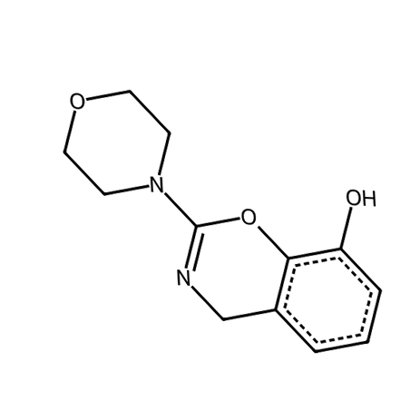 Oc1cccc2c1OC(N1CCOCC1)=NC2